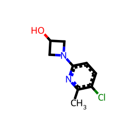 Cc1nc(N2CC(O)C2)ccc1Cl